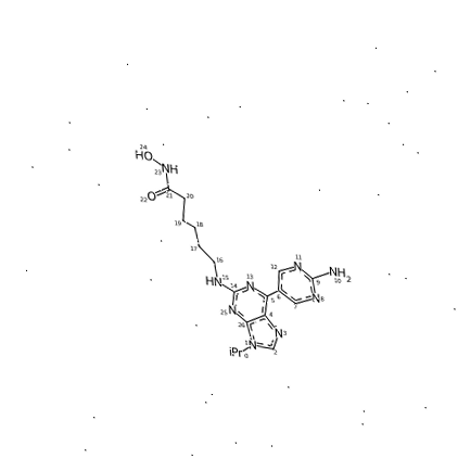 CC(C)n1cnc2c(-c3cnc(N)nc3)nc(NCCCCCC(=O)NO)nc21